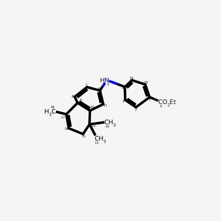 CCOC(=O)c1ccc(Nc2ccc3c(c2)C(C)(C)CC=C3C)cc1